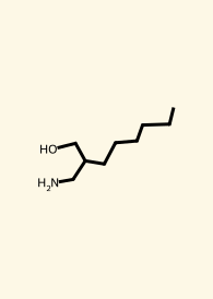 CCCCCCC(CN)CO